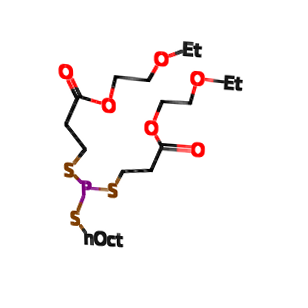 CCCCCCCCSP(SCCC(=O)OCCOCC)SCCC(=O)OCCOCC